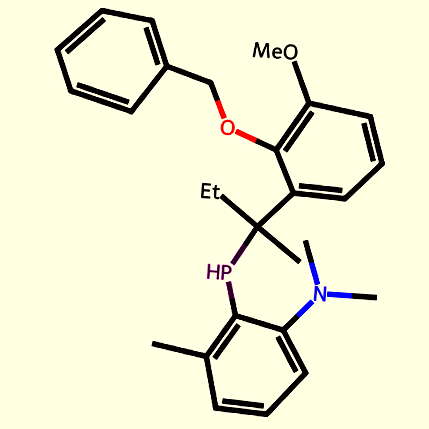 CCC(C)(Pc1c(C)cccc1N(C)C)c1cccc(OC)c1OCc1ccccc1